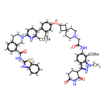 COc1c(NC(=O)CN2CCC3(CC2)CC(Oc2ccc(-c4ccc(N5CCc6cccc(C(=O)Nc7nc8ccccc8s7)c6C5)nc4C(=O)O)c(C(F)(F)F)c2)C3)ccc2c(C3CCC(=O)NC3=O)nn(C)c12